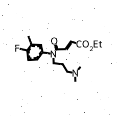 CCOC(=O)/C=C/C(=O)N(CCCN(C)C)c1ccc(F)c(C)c1